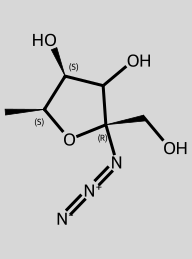 C[C@@H]1O[C@@](CO)(N=[N+]=[N-])C(O)[C@@H]1O